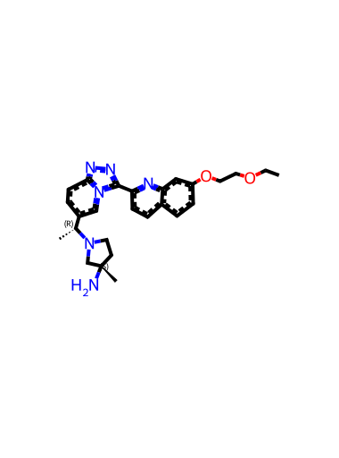 CCOCCOc1ccc2ccc(-c3nnc4ccc([C@@H](C)N5CC[C@](C)(N)C5)cn34)nc2c1